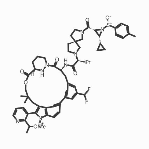 CCn1c(-c2cccnc2[C@H](C)OC)c2c3cc(ccc31)-c1cc(cc(C(F)F)c1)C[C@H](NC(=O)[C@H](C(C)C)N1CC[C@]3(CCN(C(=O)[C@H]4[C@@H](C5CC5)N4[S@+]([O-])c4ccc(C)cc4)C3)C1)C(=O)N1CCC[C@H](N1)C(=O)OCC(C)(C)C2